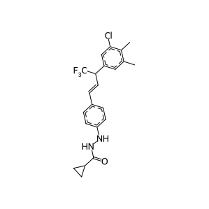 Cc1cc(C(/C=C/c2ccc(NNC(=O)C3CC3)cc2)C(F)(F)F)cc(Cl)c1C